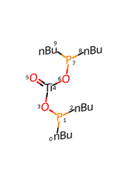 CCCCP(CCCC)[O][Ti](=[O])[O]P(CCCC)CCCC